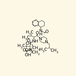 CC(C)CN1CCN(C(=O)[C@@H](NC(=O)[C@@](C)(N(C)C(=O)O)C(C)(C)C)C(C)C)[C@H](C(=O)N[C@@H]2CCCc3ccccc32)C1